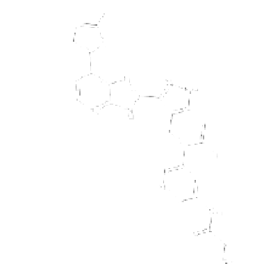 Cc1ccc(-c2ccnc3[nH]c(-c4n[nH]c5cc(F)c(-c6cncc(NC(=O)CC(C)C)c6)cc45)nc23)s1